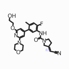 Cc1cc(F)c(NC(=O)N2CC/C(=C\C#N)C2)cc1-c1cc(OCCO)nc(N2CCOCC2)c1